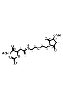 CCC(=O)NC(CC(=O)NCCOCCN1C(=O)CC(SC)C1=O)C(=O)NC(C)=O